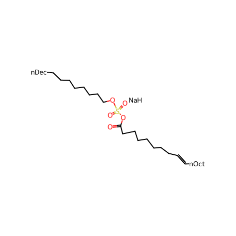 CCCCCCCCC=CCCCCCCCC(=O)OS(=O)(=O)OCCCCCCCCCCCCCCCCCC.[NaH]